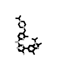 Cc1nc(Nc2ncc(F)c(-c3cc(C)c4nc(C)n(C(C)C)c4c3)n2)ccc1CN1CCN(C(C)C)CC1